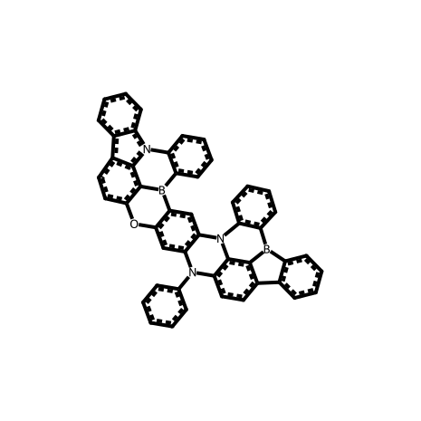 c1ccc(N2c3cc4c(cc3N3c5ccccc5B5c6ccccc6-c6ccc2c3c65)B2c3ccccc3-n3c5ccccc5c5ccc(c2c53)O4)cc1